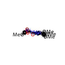 COc1ccc2c(c1)OC(CCNC(=O)CCN1CCN(Cc3ccc(OC)c(OC)c3OC)CC1)[N+]2=O